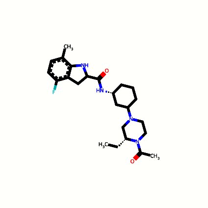 CC[C@@H]1CN(C2CCC[C@@H](NC(=O)C3Cc4c(F)ccc(C)c4N3)C2)CCN1C(C)=O